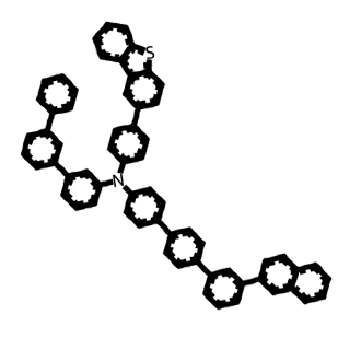 c1ccc(-c2cccc(-c3cccc(N(c4ccc(-c5ccc(-c6cccc(-c7ccc8ccccc8c7)c6)cc5)cc4)c4ccc(-c5ccc6sc7ccccc7c6c5)cc4)c3)c2)cc1